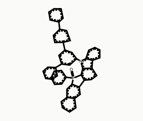 O=P1(c2ccccc2)c2cc3ccccc3cc2-c2ccc3c4ccccc4n(-c4cc(-c5ccccc5)cc(-c5ccc(-c6ccccc6)cc5)c4)c3c21